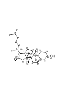 CC(C)CCC[C@@H](C)[C@H]1C(=O)C[C@H]2[C@@H]3CC=C4C[C@@H](O)CC[C@]4(C)[C@H]3CC[C@]12C